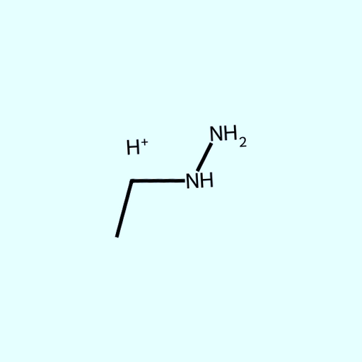 CCNN.[H+]